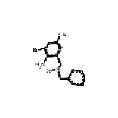 CCN(Cc1ccccc1)Cc1cc(C#N)cc(Br)c1N